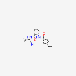 CCc1ccc(C(=O)NC2CCCCC2C(=O)NC(C#N)C2CC2)cc1